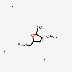 CC(=O)OCC1C[C@@H](OC(C)=O)C(OC(C)=O)O1